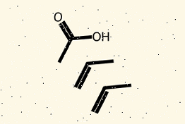 C=CC.C=CC.CC(=O)O